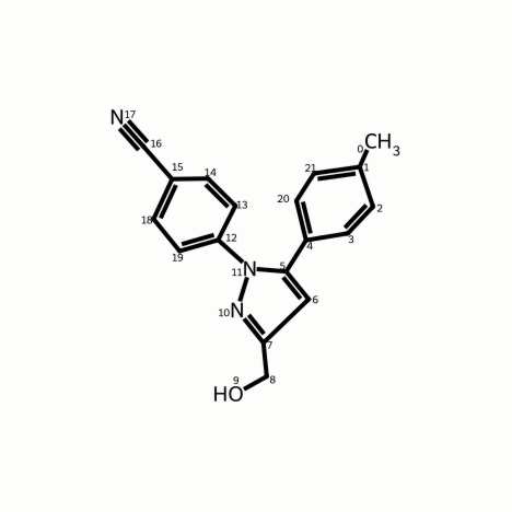 Cc1ccc(-c2cc(CO)nn2-c2ccc(C#N)cc2)cc1